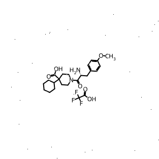 COc1ccc(C[C@@H](N)C(=O)N2CCC(C(=O)O)(C3CCCCC3)CC2)cc1.O=C(O)C(F)(F)F